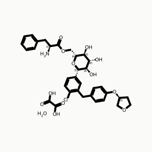 N[C@@H](Cc1ccccc1)C(=O)OC[C@H]1O[C@@H](c2ccc(Cl)c(Cc3ccc(O[C@H]4CCOC4)cc3)c2)[C@H](O)[C@@H](O)[C@@H]1O.O.O=C(O)C(=O)O